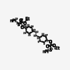 CCCSP(=O)(OCC)Oc1ccc(CCc2ccc(OP(=O)(OCC)SCCC)cc2)cc1